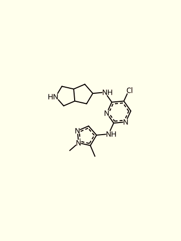 Cc1c(Nc2ncc(Cl)c(NC3CC4CNCC4C3)n2)cnn1C